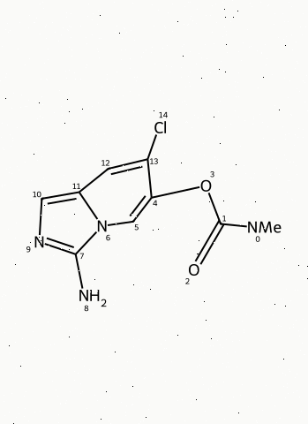 CNC(=O)Oc1cn2c(N)ncc2cc1Cl